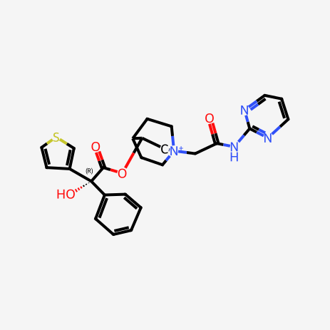 O=C(C[N+]12CCC(CC1)C(OC(=O)[C@@](O)(c1ccccc1)c1ccsc1)C2)Nc1ncccn1